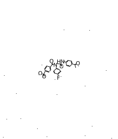 COC(=O)c1ccc(C(=O)N(CC(=O)Nc2ccc(C(C)=O)cc2)c2ccc(F)cc2)cc1